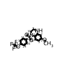 COc1ccc2c(c1)NCCN2S(=O)(=O)c1ccc(OC(F)(F)F)cc1